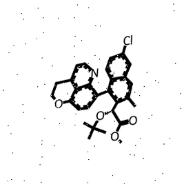 COC(=O)[C@@H](OC(C)(C)C)c1c(C)cc2cc(Cl)ccc2c1-c1ccc2c3c(ccnc13)CCO2